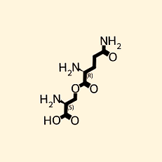 NC(=O)CC[C@@H](N)C(=O)OC[C@H](N)C(=O)O